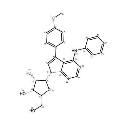 COc1ccc(-c2cn([C@@H]3O[C@H](CO)[C@H](O)[C@@H]3O)c3ncnc(Nc4ccccc4)c23)cc1